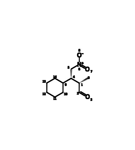 C[C@H](C=O)[C@@H](C[N+](=O)[O-])C1CCCCC1